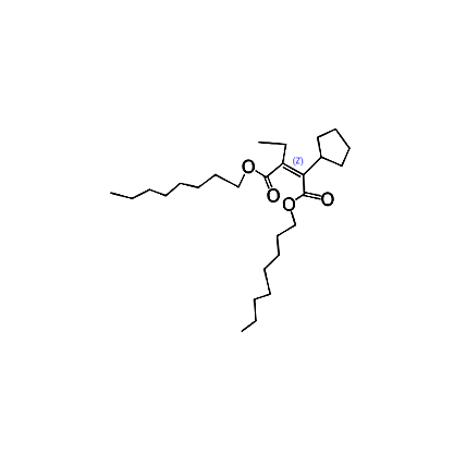 CCCCCCCCOC(=O)/C(CC)=C(\C(=O)OCCCCCCCC)C1CCCC1